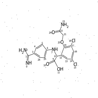 N=C(N)c1ccc(NC(C(=O)O)c2cc(Cl)cc(Cl)c2OCC(N)=O)cc1